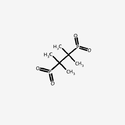 CC(C)(P(=O)=O)C(C)(C)P(=O)=O